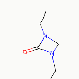 CCN1CN(CC)C1=O